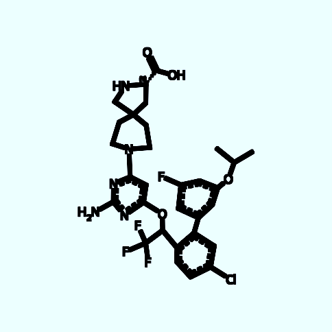 CC(C)Oc1cc(F)cc(-c2cc(Cl)ccc2C(Oc2cc(N3CCC4(CC3)CN[C@H](C(=O)O)C4)nc(N)n2)C(F)(F)F)c1